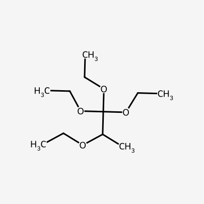 CCOC(C)C(OCC)(OCC)OCC